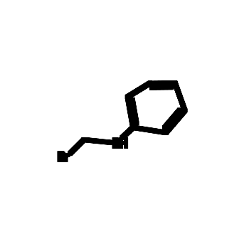 BrCBc1ccccc1